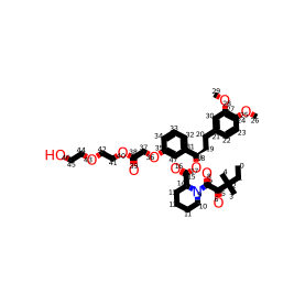 CCC(C)(C)C(=O)C(=O)N1CCCCC1C(=O)O[C@H](CCc1ccc(OC)c(OC)c1)c1cccc(OCC(=O)OCCOCCO)c1